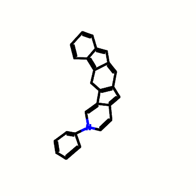 C1=C2C=c3ccccc3=C2Cc2c1cc1ccn(-c3ccccc3)cc2-1